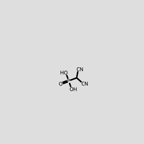 N#CC(C#N)P(=O)(O)O